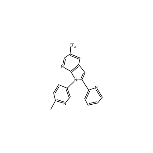 Cc1ccc(-n2c(-c3ccccn3)cc3cc(C(F)(F)F)cnc32)cn1